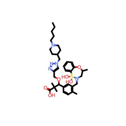 CCCCCN1CCC(Cn2cc(COC(c3ccc(C)c(CN4CC(C)Oc5ccccc5S4(O)O)c3)C(C)(C)C(=O)O)nn2)CC1